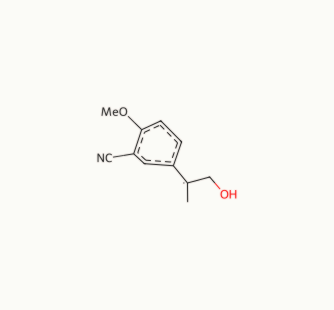 COc1ccc([C](C)CO)cc1C#N